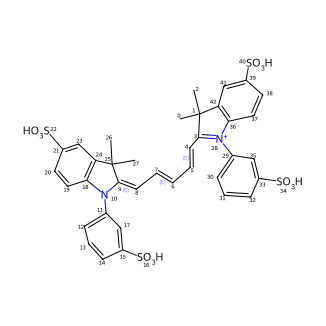 CC1(C)C(/C=C/C=C/C=C2/N(c3cccc(S(=O)(=O)O)c3)c3ccc(S(=O)(=O)O)cc3C2(C)C)=[N+](c2cccc(S(=O)(=O)O)c2)c2ccc(S(=O)(=O)O)cc21